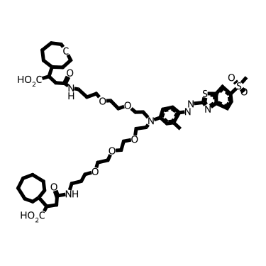 Cc1cc(N(CCOCCOCCCNC(=O)CC(C(=O)O)C2CCCCCCC2)CCOCCOCCOCCCNC(=O)CC(C(=O)O)C2CCCCCCC2)ccc1/N=N/c1nc2ccc(S(C)(=O)=O)cc2s1